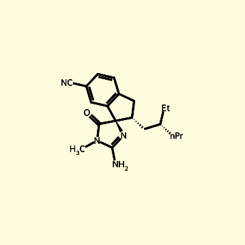 CCC[C@@H](CC)C[C@H]1Cc2ccc(C#N)cc2[C@]12N=C(N)N(C)C2=O